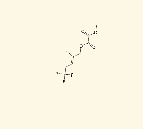 COC(=O)C(=O)OC/C(F)=C/CC(F)(F)F